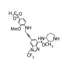 COc1cc(S(C)(=O)=O)ccc1NCC#Cc1cc(C(=O)NC2CCCNCC2C)c2ncn(CC(F)(F)F)c2c1